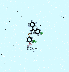 O=C(O)COc1ccc(SCC=C(c2ccccc2)c2ccc(F)cc2)cc1Br